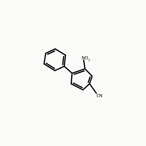 N#Cc1ccc(-c2ccccc2)c([N+](=O)[O-])c1